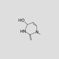 C=C1NC(O)C=CN1C